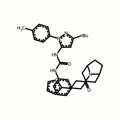 Cc1ccc(-n2nc(C(C)(C)C)cc2NC(=O)Nc2cccc(CC3CC4CCC(C3)N4C(=O)CCc3ccco3)c2)cc1